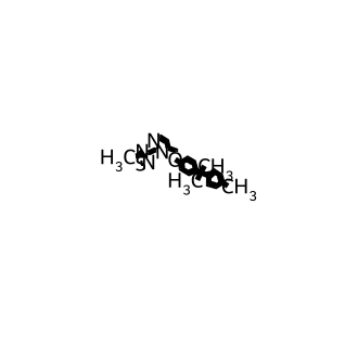 Cc1ccc(C(C)(C)c2ccc(OCc3ccnc(-c4nsc(C)n4)n3)cc2)cc1